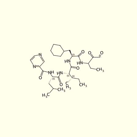 CCC(NC(=O)[C@H](CC1CCCCC1)NC(=O)[C@@H](NC(=O)[C@H](CC(C)C)NC(=O)c1cnccn1)[C@@H](C)CC)C(=O)[C]=O